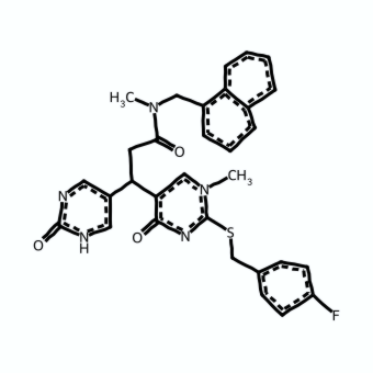 CN(Cc1cccc2ccccc12)C(=O)CC(c1cnc(=O)[nH]c1)c1cn(C)c(SCc2ccc(F)cc2)nc1=O